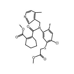 COC(=O)CSc1cc(N(Cc2cnccc2C)C(=O)C2=C(C(=O)OC)CCCC2)c(F)cc1Cl